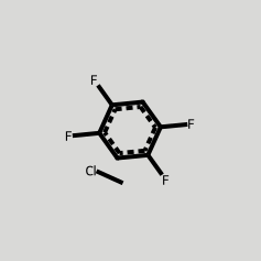 CCl.Fc1cc(F)c(F)cc1F